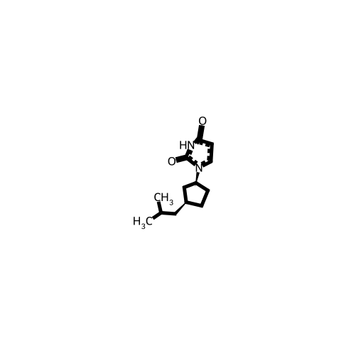 CC(C)C[C@@H]1CC[C@H](n2ccc(=O)[nH]c2=O)C1